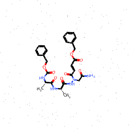 C[C@H](NC(=O)OCc1ccccc1)C(=O)N[C@@H](C)C(=O)NN(CC(N)=O)C(=O)/C=C/C(=O)OCc1ccccc1